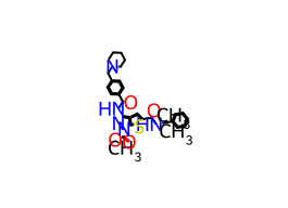 COC(=O)n1nc(NC(=O)c2ccc(CN3CCCCC3)cc2)c2cc(C(=O)NC(C)(C)c3ccccc3)sc21